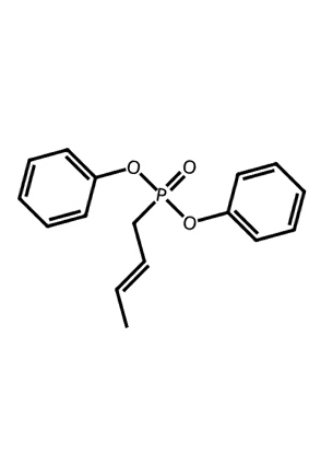 C/C=C/CP(=O)(Oc1ccccc1)Oc1ccccc1